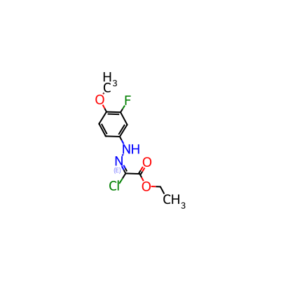 CCOC(=O)/C(Cl)=N\Nc1ccc(OC)c(F)c1